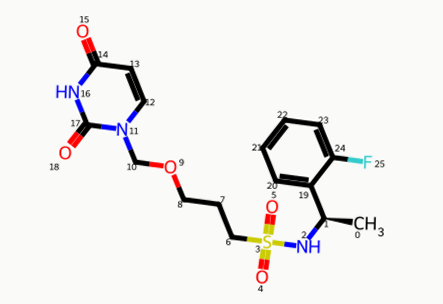 C[C@@H](NS(=O)(=O)CCCOCn1ccc(=O)[nH]c1=O)c1ccccc1F